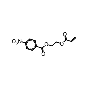 C=CC(=O)OCCOC(=O)c1ccc([N+](=O)[O-])cc1